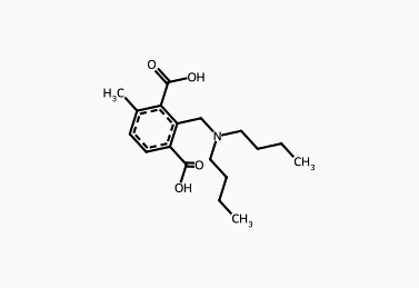 CCCCN(CCCC)Cc1c(C(=O)O)ccc(C)c1C(=O)O